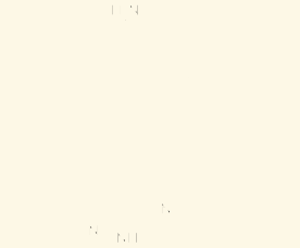 Nc1ccc(F)c(-c2ccc3c(cnc4[nH]ncc43)c2)c1F